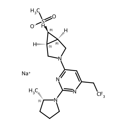 C[C@H]1CCCN1c1nc(CC(F)(F)F)cc(N2C[C@@H]3[C@H](C2)[C@@H]3[SH](C)(=O)[O-])n1.[Na+]